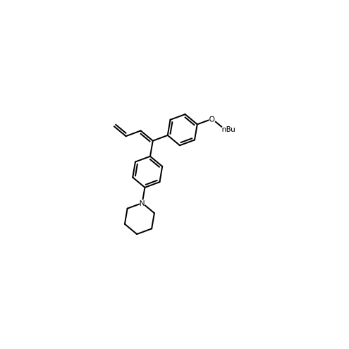 C=CC=C(c1ccc(OCCCC)cc1)c1ccc(N2CCCCC2)cc1